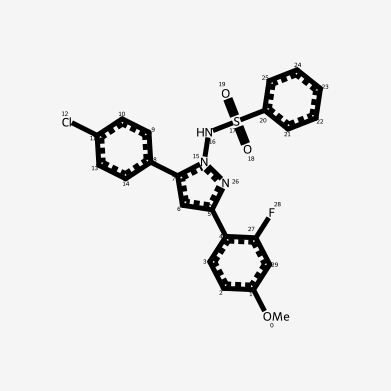 COc1ccc(-c2cc(-c3ccc(Cl)cc3)n(NS(=O)(=O)c3ccccc3)n2)c(F)c1